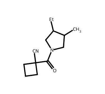 CCC1CN(C(=O)C2(C#N)CCC2)CC1C